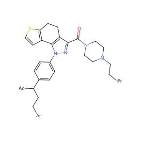 CC(=O)CCC(C(C)=O)c1ccc(-n2nc(C(=O)N3CCN(CCC(C)C)CC3)c3c2-c2ccsc2CC3)cc1